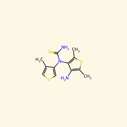 Cc1cscc1N(C(N)=S)c1c(C)sc(C)c1N